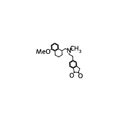 COc1cccc2c1CCCC2CN(C)CCc1ccc2c(c1)CC(=O)C2=O